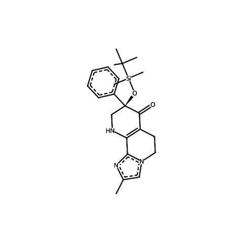 Cc1cn2c(n1)C1=C(CC2)C(=O)[C@@](O[Si](C)(C)C(C)(C)C)(c2ccccc2)CN1